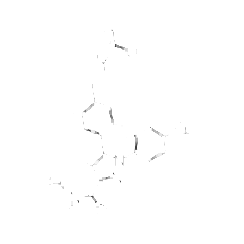 COc1ccc(-n2nc(C(=O)N(C)OC)cc2-c2ccc(CCOC(C)=O)cc2)cc1